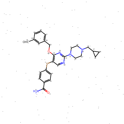 NC(=O)c1ccc(Sc2cnc(N3CCN(CC4CC4)CC3)nc2OCc2cccc(C=O)c2)cc1